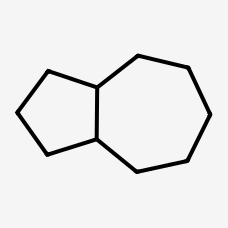 C1CCC2CCCC2CC1